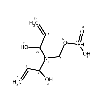 C=CC(O)N(CO[PH](=O)O)C(O)C=C